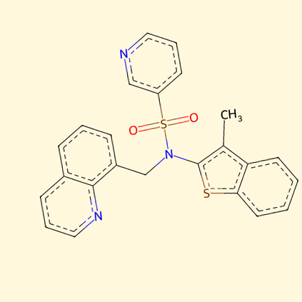 Cc1c(N(Cc2cccc3cccnc23)S(=O)(=O)c2cccnc2)sc2ccccc12